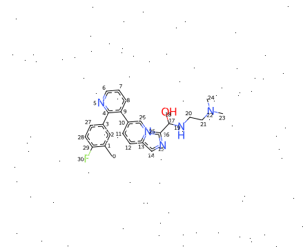 Cc1cc(-c2ncccc2-c2ccc3cnc(C(O)NCCN(C)C)n3c2)ccc1F